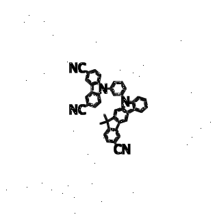 CC1(C)c2ccc(C#N)cc2-c2cc3c4ccccc4n(-c4cccc(-n5c6ccc(C#N)cc6c6cc(C#N)ccc65)c4)c3cc21